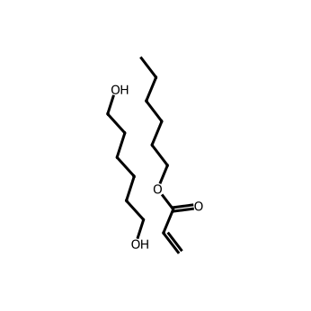 C=CC(=O)OCCCCCC.OCCCCCCO